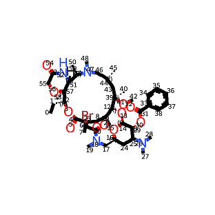 CC[C@H]1OC(=O)C(C)C(=O)[C@H](C)[C@@H](O[C@@H]2O[C@H](CN(C)C(=O)CBr)CC(N(C)C)[C@H]2OC(=O)c2ccccc2)[C@](C)(OC)C[C@@H](C)CN(C)[C@H](C)[C@H]2NC(=O)CO[C@@]21C